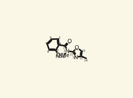 CCCCN(C(=O)c1ccccc1OC)c1nc(C)co1